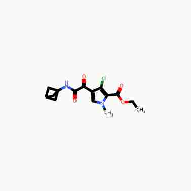 CCOC(=O)c1c(Cl)c(C(=O)C(=O)NC23CC(C2)C3)cn1C